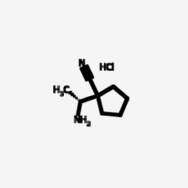 C[C@@H](N)C1(C#N)CCCC1.Cl